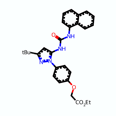 CCOC(=O)COc1ccc(-n2nc(C(C)(C)C)cc2NC(=O)Nc2cccc3ccccc23)cc1